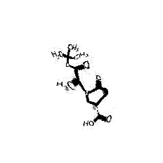 CC(C(=O)OC(C)(C)C)N1C[C@@H](C(=O)O)CC1=O